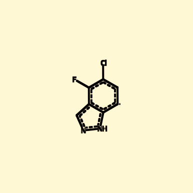 Fc1c(Cl)c[c]c2[nH]ncc12